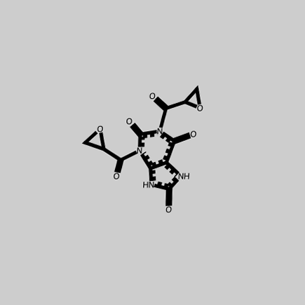 O=C(C1CO1)n1c(=O)c2[nH]c(=O)[nH]c2n(C(=O)C2CO2)c1=O